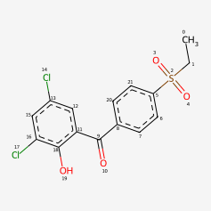 CCS(=O)(=O)c1ccc(C(=O)c2cc(Cl)cc(Cl)c2O)cc1